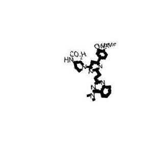 COc1ccc(-c2cc(N3CCC(NC(=O)O)C3)nc(C=Cc3nc(N(C)C)c4ccccc4n3)n2)cc1OC